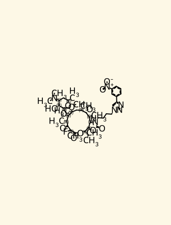 CC[C@H]1OC(=O)[C@@](C)(F)C(=O)[C@H](C)[C@@H](O[C@@H]2O[C@H](C)C[C@H](N(C)C)[C@H]2O)[C@@](C)(OC)C[C@@H](C)C(=O)[C@H](C)[C@@H]2N(CCCCn3cc(-c4cccc([N+](=O)[O-])c4)nn3)C(=O)O[C@@]21C